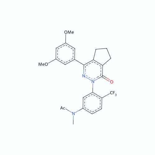 COc1cc(OC)cc(-c2nn(-c3cc(N(C)C(C)=O)ccc3C(F)(F)F)c(=O)c3c2CCC3)c1